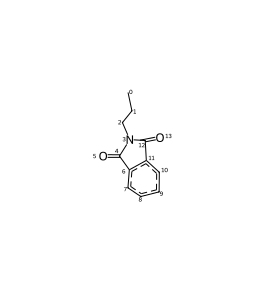 CCCN1C(=O)c2ccccc2C1=O